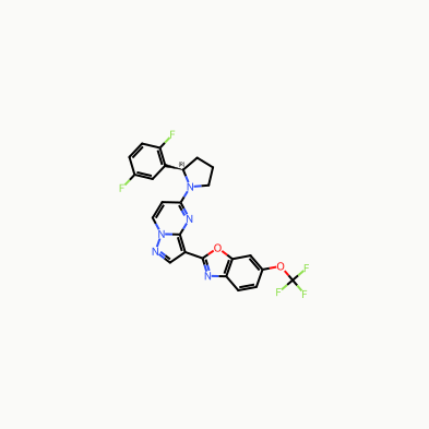 Fc1ccc(F)c([C@H]2CCCN2c2ccn3ncc(-c4nc5ccc(OC(F)(F)F)cc5o4)c3n2)c1